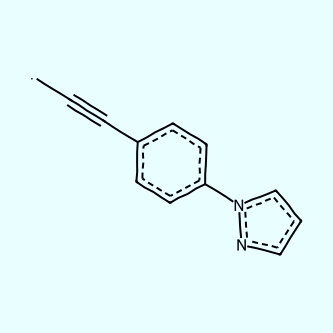 [CH2]C#Cc1ccc(-n2cccn2)cc1